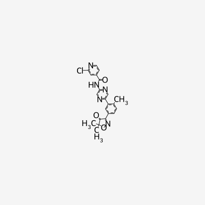 Cc1ccc(C2=NOC(C)(C)C2=O)cc1-c1cnc(NC(=O)c2ccnc(Cl)c2)cn1